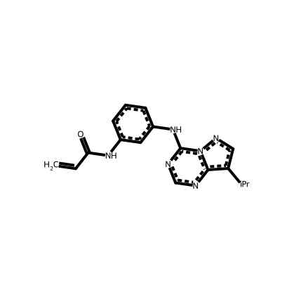 C=CC(=O)Nc1cccc(Nc2ncnc3c(C(C)C)cnn23)c1